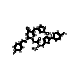 CN(Cc1ccc(-c2ccc(F)cc2)s1)C(=O)Cn1cc(Cc2cnn(C)c2)c(=O)nc1SCc1ccc(F)cc1